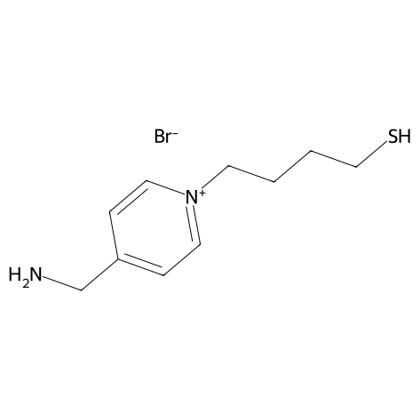 NCc1cc[n+](CCCCS)cc1.[Br-]